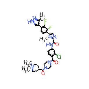 Cc1n[nH]cc1-c1ccc(-c2cnc(C(=O)Nc3ccc(C(=O)N4CCN(C(=O)C5CC[N+](C)(C)CC5)CC4)c(Cl)c3)n2C)c(F)c1F